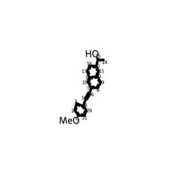 COc1ccc(C#Cc2ccc3cc(C(C)O)ccc3c2)cc1